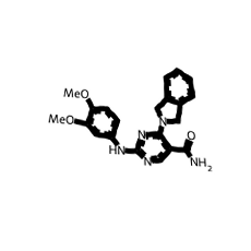 COc1ccc(Nc2ncc(C(N)=O)c(N3Cc4ccccc4C3)n2)cc1OC